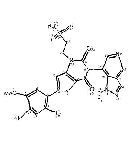 COc1cc(-c2cc3c(s2)c(=O)n(-c2cncc4cnn(C)c24)c(=O)n3CCS(C)(=O)=O)c(Cl)cc1F